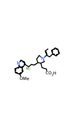 CC=C(Cc1ccccc1)N1CCC(CC[C@H](F)c2ccnc3ccc(OC)cc23)C(CCC(=O)O)C1